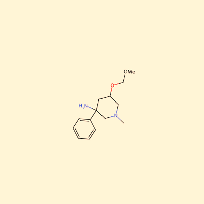 COCOC1CN(C)CC(N)(c2ccccc2)C1